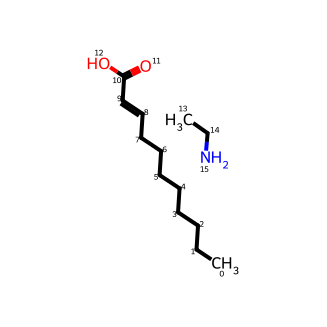 CCCCCCCCC=CC(=O)O.CCN